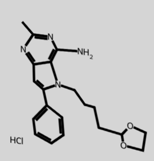 Cc1nc(N)c2c(cc(-c3ccccc3)n2CCCCC2OCCO2)n1.Cl